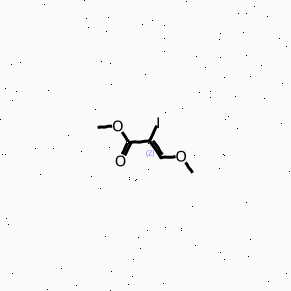 CO/C=C(\I)C(=O)OC